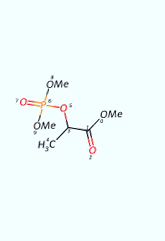 COC(=O)C(C)OP(=O)(OC)OC